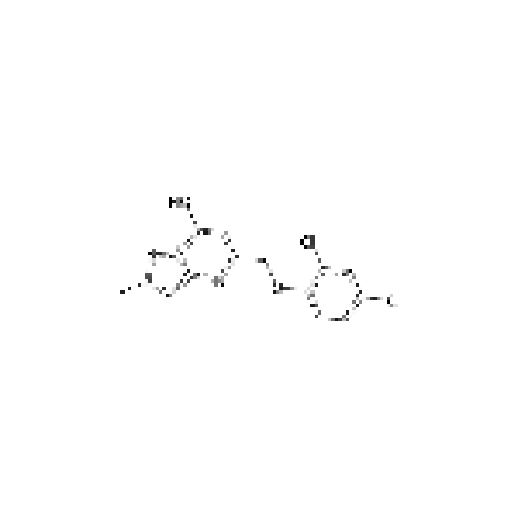 Cc1cc2nc(COc3ccc(Cl)cc3Cl)cc(O)n2n1